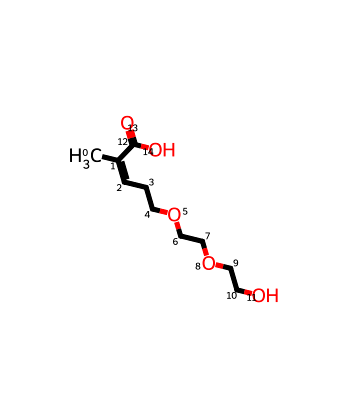 CC(=CCCOCCOCCO)C(=O)O